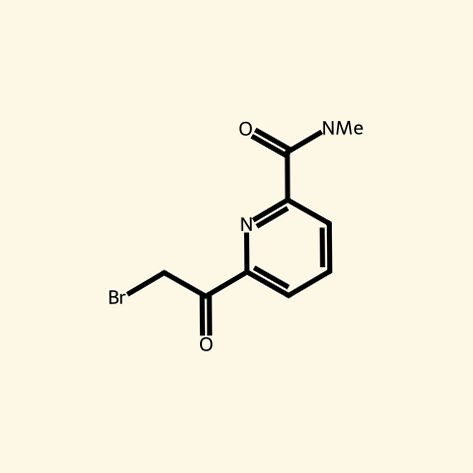 CNC(=O)c1cccc(C(=O)CBr)n1